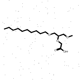 CCCCCCCCCCOCC(COC)OCC(=O)O